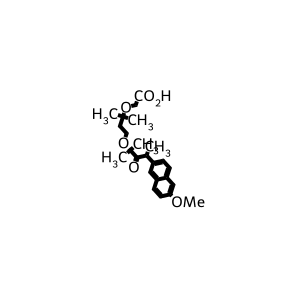 COc1ccc2cc(C(C)C(=O)C(C)(C)OCCC(C)(C)OCC(=O)O)ccc2c1